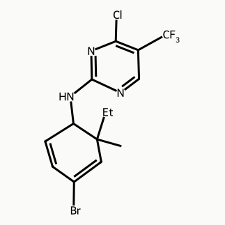 CCC1(C)C=C(Br)C=CC1Nc1ncc(C(F)(F)F)c(Cl)n1